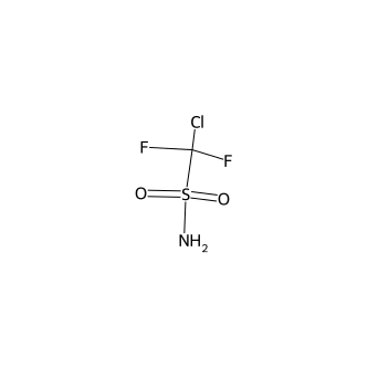 NS(=O)(=O)C(F)(F)Cl